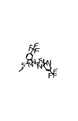 CCSc1nn(-c2nc3cc(C(F)(F)F)cnc3n2C)c2cc(C(F)(F)F)ccc12